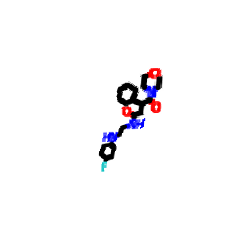 O=C(CC(C(=O)N1CCOCC1)C1CCCCC1)NCCNc1ccc(F)cc1